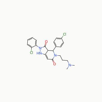 CN(C)CCCN1C(=O)C=C2NN(c3ccccc3Cl)C(=O)C2C1c1ccc(Cl)cc1